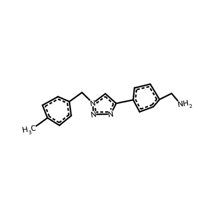 Cc1ccc(Cn2cc(-c3ccc(CN)cc3)nn2)cc1